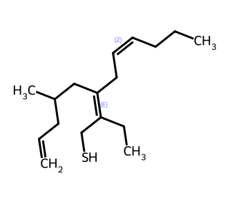 C=CCC(C)C/C(C/C=C\CCC)=C(/CC)CS